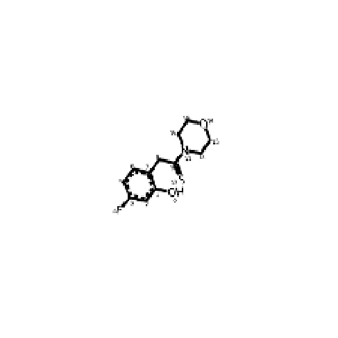 Oc1cc(F)ccc1CC(=S)N1CCOCC1